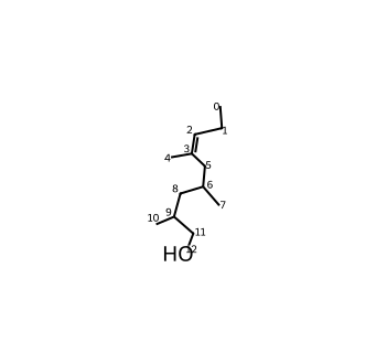 CCC=C(C)CC(C)CC(C)CO